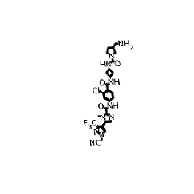 Cn1c(-c2cn(CC#N)nc2C(F)(F)F)cnc1C(=O)Nc1ccc(C(=O)N[C@H]2C[C@@H](NC(=O)N3CCC(CN)C3)C2)c(Cl)c1